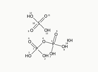 O=P(O)(O)OP(=O)(O)O.O=S(=O)(O)O.[KH]